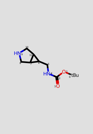 CC(C)(C)OC(=O)NCC1C2CNCC21